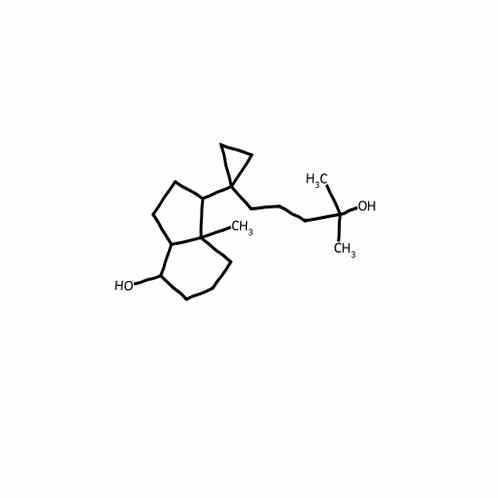 CC(C)(O)CCCC1(C2CCC3C(O)CCCC32C)CC1